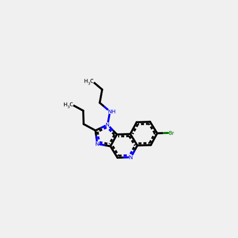 CCCNn1c(CCC)nc2cnc3cc(Br)ccc3c21